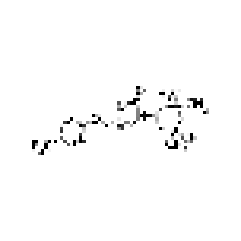 CC1(C)CC(N2C[C@H](COc3ccc(C(F)(F)F)cn3)OC2=O)CC(C)(C)C1